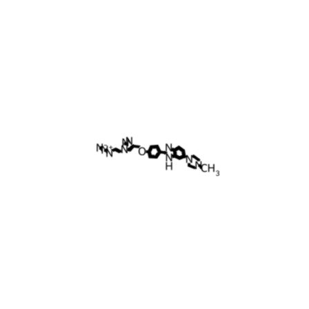 CN1CCN(c2ccc3nc(-c4ccc(OCc5cn(/C=C/N=[N+]=[N-])nn5)cc4)[nH]c3c2)CC1